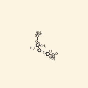 Cc1cc(OCCCS(C)(=O)=O)nc(C)c1-c1cccc(COc2ccc(N3CC(=O)NS3(=O)=O)c(Cl)c2)c1